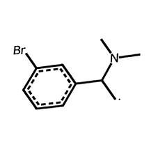 [CH2]C(c1cccc(Br)c1)N(C)C